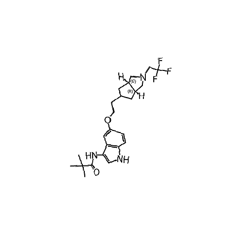 CC(C)(C)C(=O)Nc1c[nH]c2ccc(OCCC3C[C@@H]4CN(CC(F)(F)F)C[C@@H]4C3)cc12